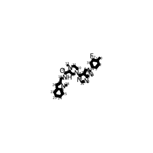 Cc1ccc(-n2cc3c(N4CCN(C)C(C(=O)NCc5cc6ccccc6n5C)C4)ncnc3n2)cc1F